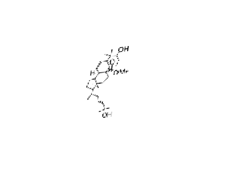 CO[C@@H]1OC23C=C[C@H]4C1(CCC1(C)C([C@H](C)C/C=C/C(C)(C)O)CC[C@@]41C)[C@@H]2CCC(O)C3(C)C